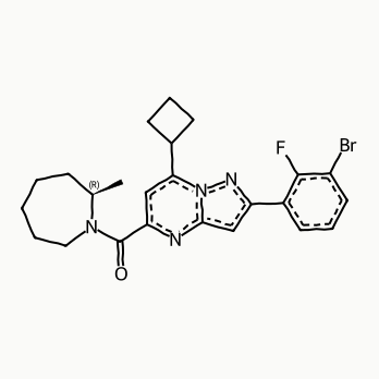 C[C@@H]1CCCCCN1C(=O)c1cc(C2CCC2)n2nc(-c3cccc(Br)c3F)cc2n1